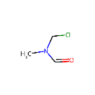 CN(C=O)CCl